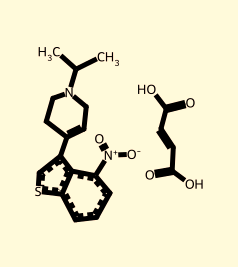 CC(C)N1CC=C(c2csc3cccc([N+](=O)[O-])c23)CC1.O=C(O)C=CC(=O)O